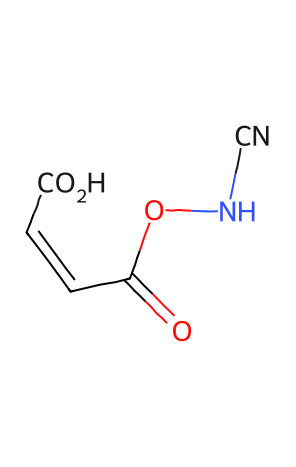 N#CNOC(=O)/C=C\C(=O)O